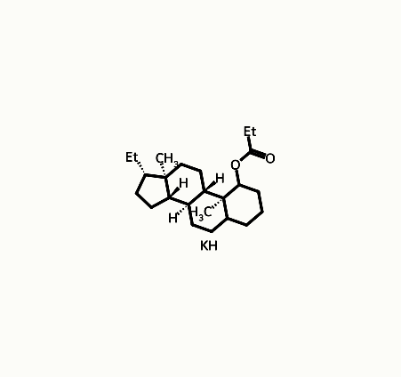 CCC(=O)OC1CCCC2CC[C@@H]3[C@H](CC[C@]4(C)[C@@H](CC)CC[C@@H]34)[C@]21C.[KH]